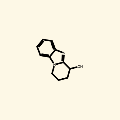 OC1CCCn2c1nc1ccccc12